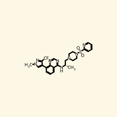 C[C@@H](CN1CCN(S(=O)(=O)c2ccccn2)CC1)Nc1ncnc2c(-c3cn(C)nc3C(F)(F)F)cccc12